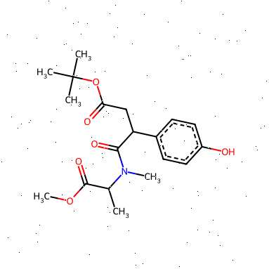 COC(=O)C(C)N(C)C(=O)C(CC(=O)OC(C)(C)C)c1ccc(O)cc1